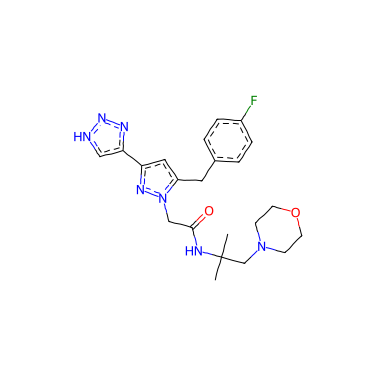 CC(C)(CN1CCOCC1)NC(=O)Cn1nc(-c2c[nH]nn2)cc1Cc1ccc(F)cc1